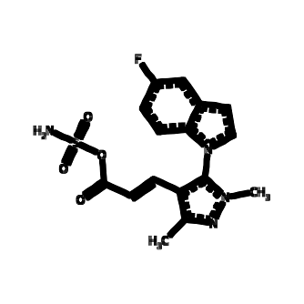 Cc1nn(C)c(-n2ccc3cc(F)ccc32)c1C=CC(=O)OS(N)(=O)=O